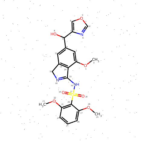 COc1cc(C(O)c2cocn2)cc2c1C(NS(=O)(=O)c1c(OC)cccc1OC)=NC2